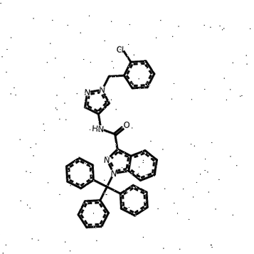 O=C(Nc1cnn(Cc2ccccc2Cl)c1)c1nn(C(c2ccccc2)(c2ccccc2)c2ccccc2)c2ccccc12